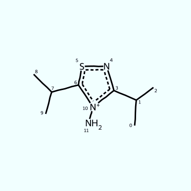 CC(C)c1nsc(C(C)C)[n+]1N